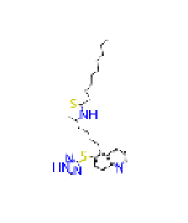 CCCCCCCCCC(=S)NC(C)CCCCc1c(Sc2nc[nH]n2)ccc2ncccc12